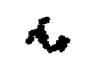 c1ccc(-c2cccc(-c3ccc(N(c4ccc(-c5cccc(-c6ccc7ccccc7c6)c5)cc4)c4cccc5c4-c4ccccc4C5(c4ccccc4)c4cccc(-c5ccc6cc(-c7cccc(-c8ccc(N(c9ccccc9)c9cccc%10c9-c9ccccc9C%10(c9ccccc9)c9ccccc9)cc8)c7)ccc6c5)c4)cc3)c2)cc1